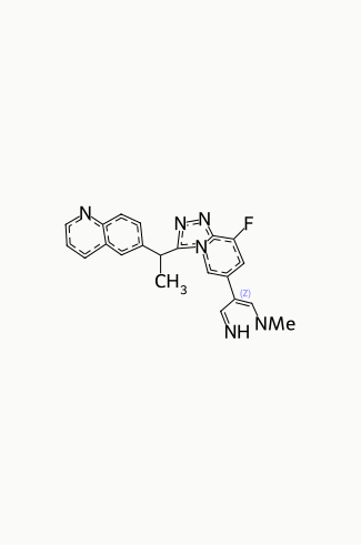 CN/C=C(\C=N)c1cc(F)c2nnc(C(C)c3ccc4ncccc4c3)n2c1